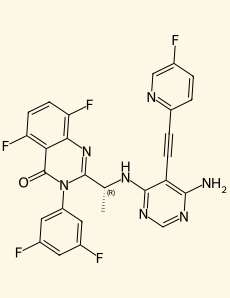 C[C@@H](Nc1ncnc(N)c1C#Cc1ccc(F)cn1)c1nc2c(F)ccc(F)c2c(=O)n1-c1cc(F)cc(F)c1